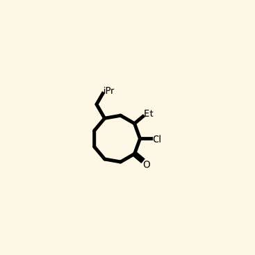 CCC1CC(CC(C)C)CCCCC(=O)C1Cl